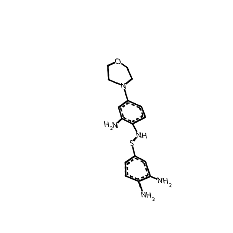 Nc1ccc(SNc2ccc(N3CCOCC3)cc2N)cc1N